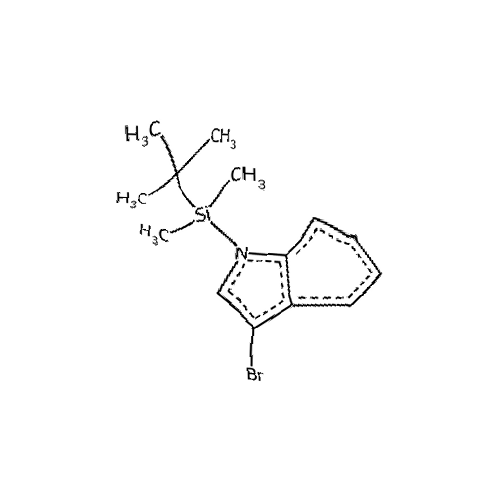 CC(C)(C)[Si](C)(C)n1cc(Br)c2ccccc21